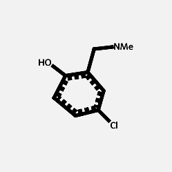 CNCc1cc(Cl)ccc1O